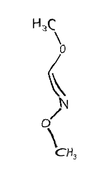 COC=NOC